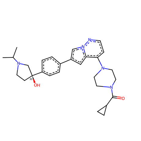 CC(C)N1CC[C@@](O)(c2ccc(-c3cc4c(N5CCN(C(=O)C6CC6)CC5)ccnn4c3)cc2)C1